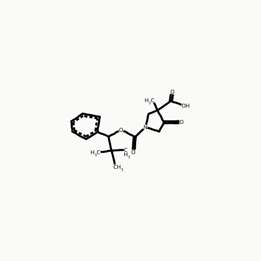 CC1(C(=O)O)CN(C(=O)OC(c2ccccc2)C(C)(C)C)CC1=O